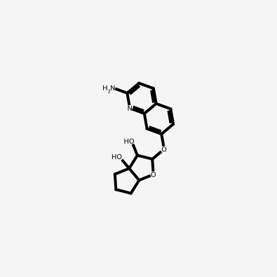 Nc1ccc2ccc(OC3OC4CCCC4(O)C3O)cc2n1